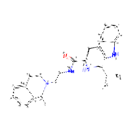 CCC(CC)CN[C@H](Cc1c[nH]c2ccccc12)C(=O)NCCN1CCc2ccccc2C1C